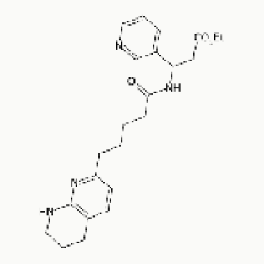 CCOC(=O)CC(NC(=O)CCCCc1ccc2c(n1)NCCC2)c1cccnc1